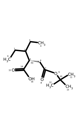 CCC(CC)[C@H](CC(=O)OC(C)(C)C)C(=O)O